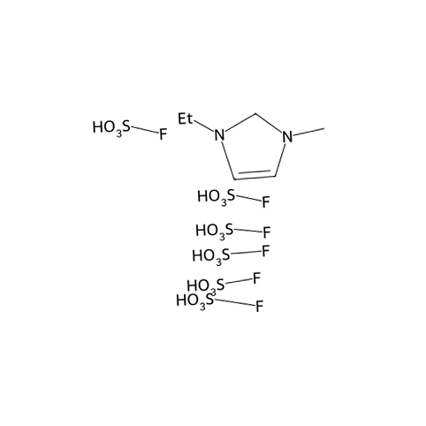 CCN1C=CN(C)C1.O=S(=O)(O)F.O=S(=O)(O)F.O=S(=O)(O)F.O=S(=O)(O)F.O=S(=O)(O)F.O=S(=O)(O)F